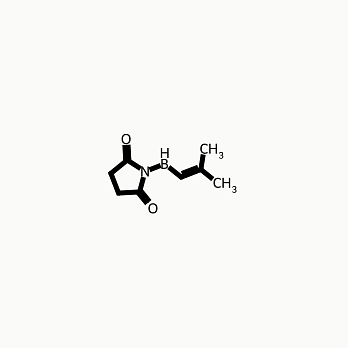 CC(C)=CBN1C(=O)CCC1=O